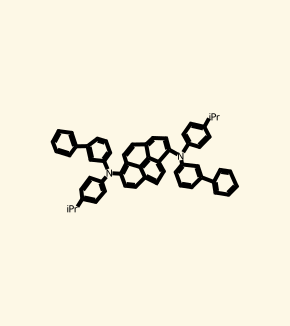 CC(C)c1ccc(N(c2cccc(-c3ccccc3)c2)c2ccc3ccc4c(N(c5ccc(C(C)C)cc5)c5cccc(-c6ccccc6)c5)ccc5ccc2c3c54)cc1